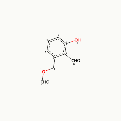 O=COCc1cccc(O)c1C=O